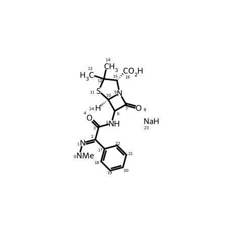 CN/N=C(/C(=O)NC1C(=O)N2[C@@H]1SC(C)(C)[C@@H]2C(=O)O)c1ccccc1.[NaH]